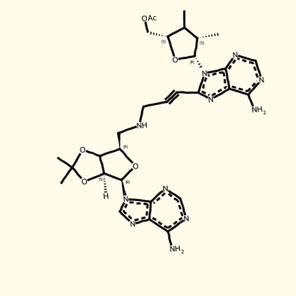 CC(=O)OC[C@H]1O[C@@H](n2c(C#CCNC[C@H]3O[C@@H](n4cnc5c(N)ncnc54)[C@H]4OC(C)(C)OC34)nc3c(N)ncnc32)[C@@H](C)C1C